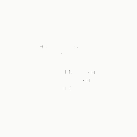 CCOC(=O)C(CC)NC(C)C